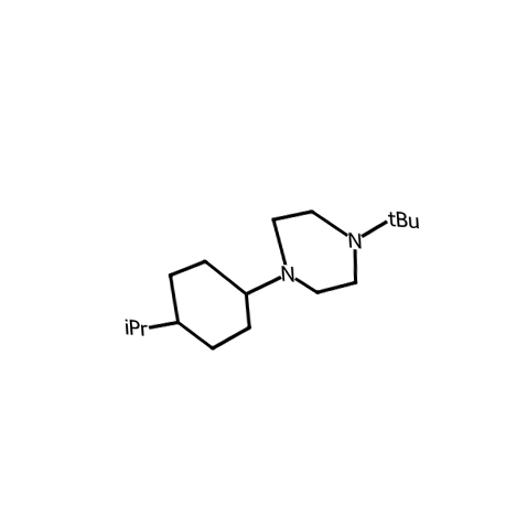 CC(C)C1CCC(N2CCN(C(C)(C)C)CC2)CC1